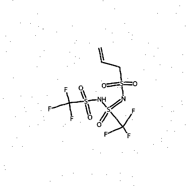 C=CCS(=O)(=O)N=S(=O)(NS(=O)(=O)C(F)(F)F)C(F)(F)F